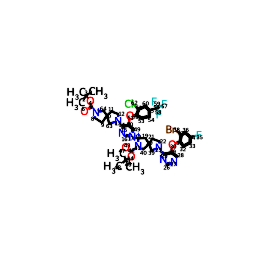 CC(C)(C)OC(=O)N1CCC2(CCN(c3nc[n+](C4CC5(CCN(c6ncncc6Oc6ccc(F)cc6Br)C5)CN4C(=O)OC(C)(C)C)cc3Oc3ccc(C(F)(F)F)cc3Cl)C2)C1